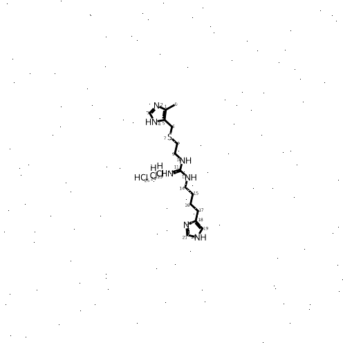 Cc1nc[nH]c1CSCCNC(=N)NCCCCc1c[nH]cn1.Cl.Cl.Cl